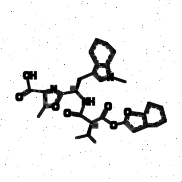 Cc1oc([C@@H](Cc2cn(C)c3ccccc23)NC(=O)[C@@H](C(=O)Oc2cc3ccccc3o2)C(C)C)nc1C(=O)O